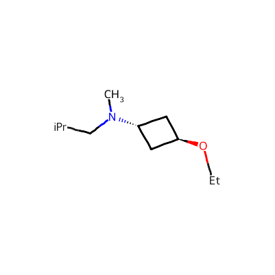 CCO[C@H]1C[C@H](N(C)CC(C)C)C1